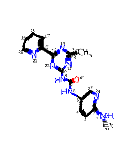 CCNc1ccc(NC(=O)Nc2nc(C)nc(-c3ccccn3)n2)cn1